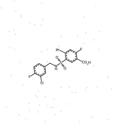 CC(C)c1cc(F)c(C(=O)O)cc1S(=O)(=O)NCc1ccc(F)c(Cl)c1